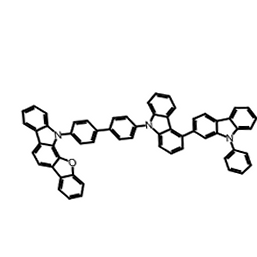 c1ccc(-n2c3ccccc3c3ccc(-c4cccc5c4c4ccccc4n5-c4ccc(-c5ccc(-n6c7ccccc7c7ccc8c9ccccc9oc8c76)cc5)cc4)cc32)cc1